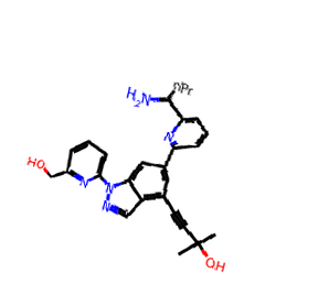 CCCC(N)c1cccc(-c2cc(C#CC(C)(C)O)c3cnn(-c4cccc(CO)n4)c3c2)n1